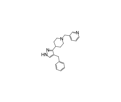 c1ccc(Cc2c[nH]nc2C2CCN(Cc3cccnc3)CC2)cc1